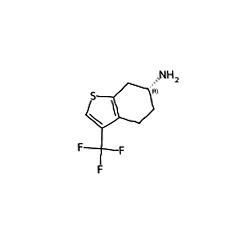 N[C@@H]1CCc2c(C(F)(F)F)csc2C1